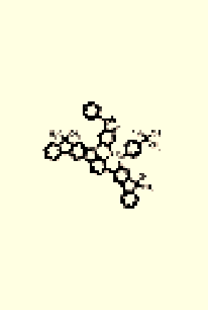 CC(C)(C)c1ccc(Nc2cc3c(cc2-c2ccc4c5cc6c(cc5n5c4c2Bc2cc4occ(-c7ccccc7)c4cc2-5)C(C)(C)c2ccccc2-6)-c2ccccc2C3(C)C)cc1